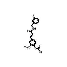 COc1cc(/C=C/C(=O)NCc2cccc(F)c2)ccc1OC(=O)C(C)C